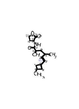 CC(/C=C/C1CC(C)C1)CC(C)C(=O)N[C@@H]1CCOC1=O